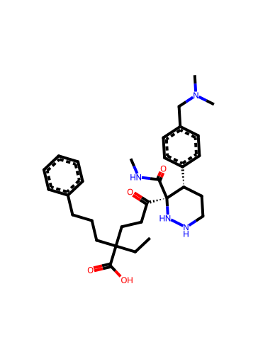 CCC(CCCc1ccccc1)(CCC(=O)[C@@]1(C(=O)NC)NNCC[C@H]1c1ccc(CN(C)C)cc1)C(=O)O